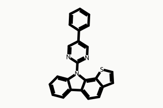 c1ccc(-c2cnc(-n3c4ccccc4c4ccc5ccsc5c43)nc2)cc1